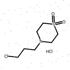 Cl.O=S1(=O)CCN(CCCCl)CC1